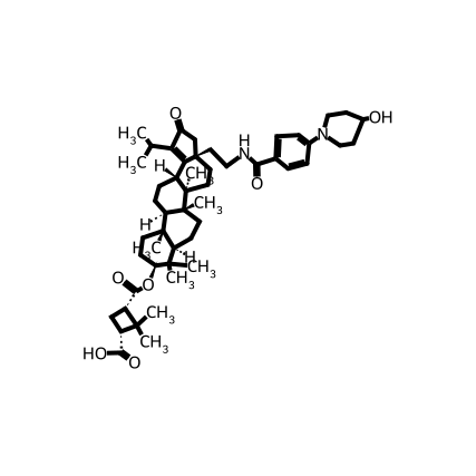 CC(C)C1=C2[C@H]3CC[C@@H]4[C@@]5(C)CC[C@H](OC(=O)[C@H]6C[C@@H](C(=O)O)C6(C)C)C(C)(C)[C@@H]5CC[C@@]4(C)[C@]3(C)CC[C@@]2(CCNC(=O)c2ccc(N3CCC(O)CC3)cc2)CC1=O